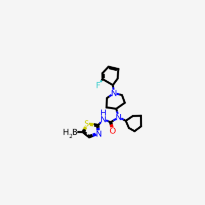 Bc1cnc(NC(=O)N(C2CCCCC2)C2CCN(C3CC=CC=C3F)CC2)s1